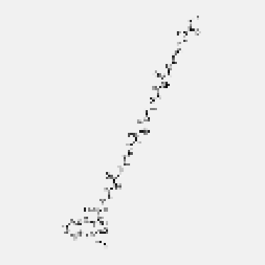 CCC(=O)NCCOCCOCC(=O)NCCOCCOCC(=O)NCCOCCOCC(=O)NCCCC[C@@H](N)C(=O)N1Cc2ccccc2C[C@@H]1C(=O)CC